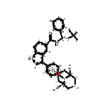 CC(C)(C)C[C@H](NC(=O)c1ccc2[nH]nc(-c3ccc(N4[C@@H]5COC[C@H]4C[C@@H](O)C5)cc3)c2c1)c1ccccc1